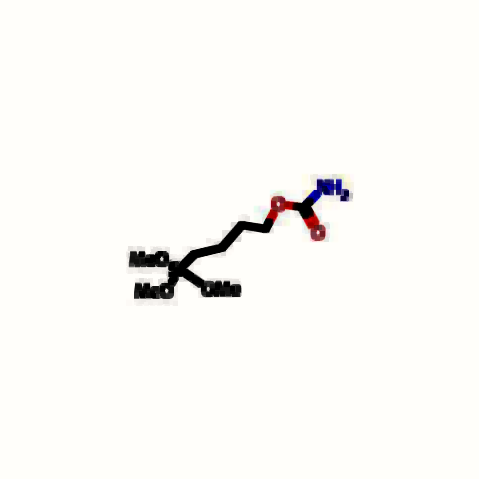 CO[Si](CCCCOC(N)=O)(OC)OC